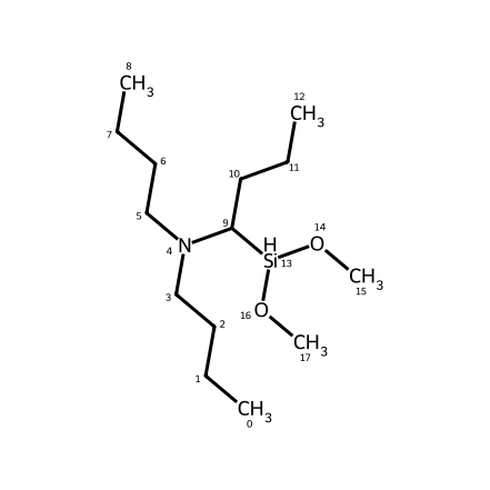 CCCCN(CCCC)C(CCC)[SiH](OC)OC